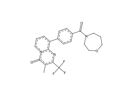 Cc1c(C(F)(F)F)nc2c(-c3ccc(C(=O)N4CCCOCC4)cc3)cccn2c1=O